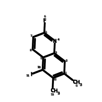 Cc1cc2nc(F)ccc2c(I)c1C